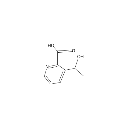 CC(O)c1cccnc1C(=O)O